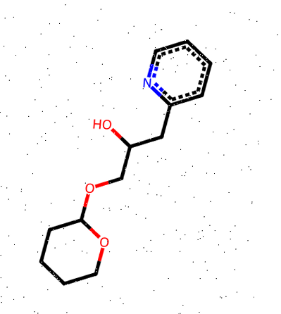 OC(COC1CCCCO1)Cc1ccccn1